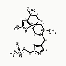 CC(=O)OC1CO[C@@]2(CCN(Cc3cnn(CCS(C)(=O)=O)c3)[C@@H](C)C2)c2sc(Cl)cc21